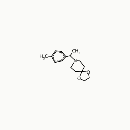 Cc1ccc(C(C)N2CCC3(CC2)OCCO3)cc1